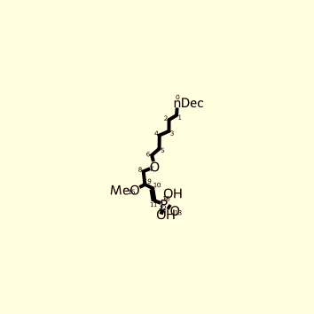 CCCCCCCCCCCCCCCCOCC(C=CP(=O)(O)O)OC